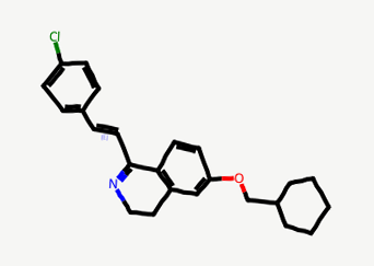 Clc1ccc(/C=C/C2=NCCc3cc(OCC4CCCCC4)ccc32)cc1